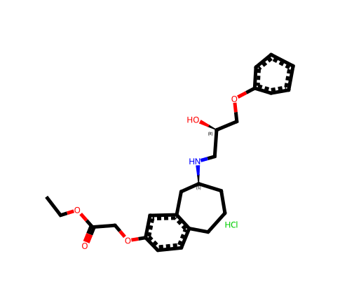 CCOC(=O)COc1ccc2c(c1)C[C@@H](NC[C@@H](O)COc1ccccc1)CCC2.Cl